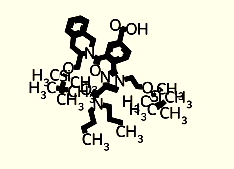 CCCCN(CCCC)C(=O)c1cn(CCO[Si](C)(C)C(C)(C)C)c(-c2ccc(C(=O)O)cc2C(=O)N2Cc3ccccc3CC2CO[Si](C)(C)C(C)(C)C)n1